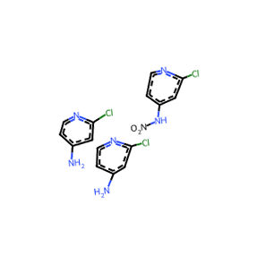 Nc1ccnc(Cl)c1.Nc1ccnc(Cl)c1.O=[N+]([O-])Nc1ccnc(Cl)c1